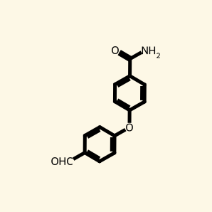 NC(=O)c1ccc(Oc2ccc(C=O)cc2)cc1